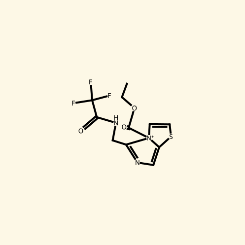 CCOC(=O)[N+]12C=CSC1=CN=C2CNC(=O)C(F)(F)F